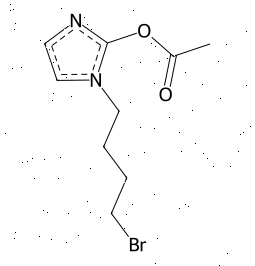 CC(=O)Oc1nccn1CCCCBr